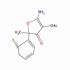 CC(=O)OC1=C(N)OC(C)(C2=CC=CCC2=S)C1=O